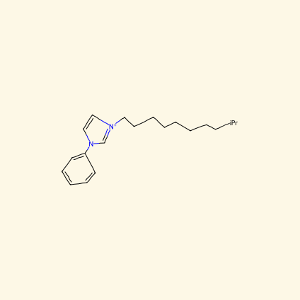 CC(C)CCCCCCCC[n+]1ccn(-c2ccccc2)c1